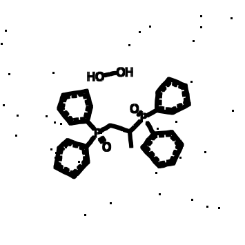 CC(CP(=O)(c1ccccc1)c1ccccc1)P(=O)(c1ccccc1)c1ccccc1.OO